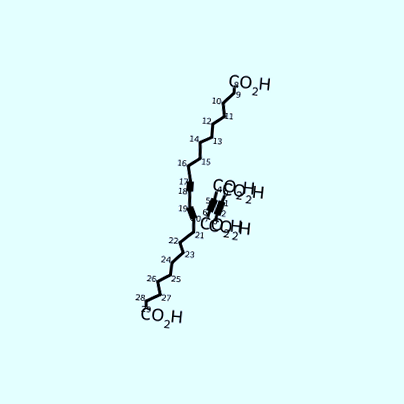 O=C(O)C#CC(=O)O.O=C(O)C#CC(=O)O.O=C(O)CCCCCCCCC#CC#CCCCCCCCCC(=O)O